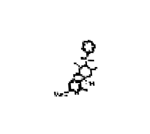 C=C1[C@@H](C)[C@@H](S(C)(C)c2ccccc2)C(C)C[C@@]1(C#N)c1ccc(OC)nc1C